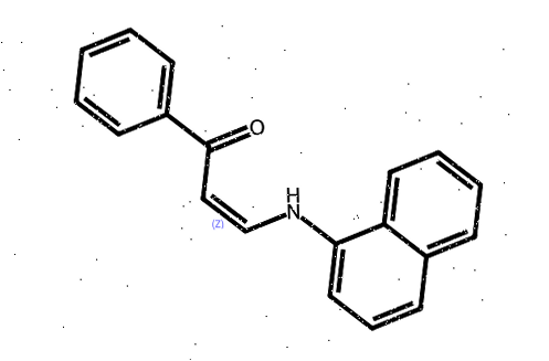 O=C(/C=C\Nc1cccc2ccccc12)c1ccccc1